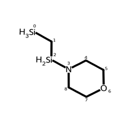 [SiH3]C[SiH2]N1CCOCC1